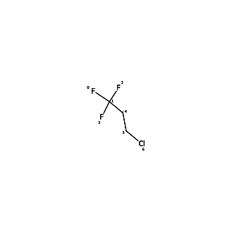 FC(F)(F)[CH]CCl